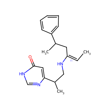 C/C=C(\CC(C)c1ccccc1)NCC(C)c1cc(=O)[nH]cn1